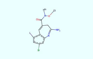 CCCN(OCC)C(=O)C1=Cc2c(I)cc(Br)cc2N=C(N)C1